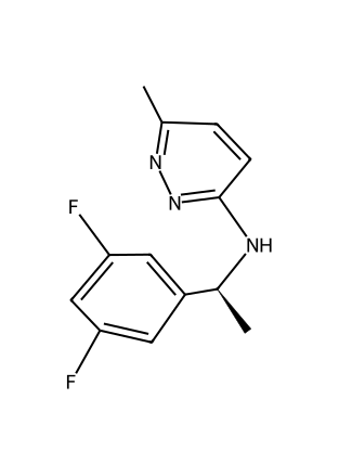 Cc1ccc(N[C@@H](C)c2cc(F)cc(F)c2)nn1